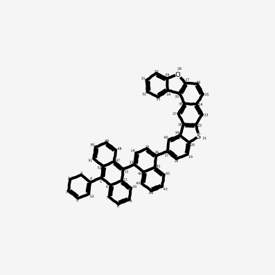 C1=CCCC(c2c3ccccc3c(-c3ccc(-c4ccc5sc6cc7ccc8oc9ccccc9c8c7cc6c5c4)c4ccccc34)c3ccccc23)=C1